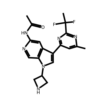 CC(=O)Nc1cc2c(-c3cc(C)nc(C(C)(F)F)n3)cn(C3CNC3)c2cn1